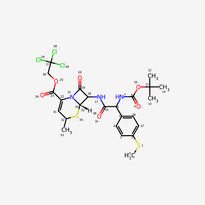 CSc1ccc(C(NC(=O)OC(C)(C)C)C(=O)NC2C(=O)N3C(C(=O)OCC(Cl)(Cl)Cl)=CC(C)S[C@@H]23)cc1